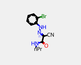 CCCNC(=O)/C(C#N)=N/Nc1ccccc1Br